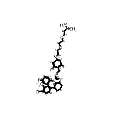 Cc1cc(C2CCCc3nc(SCc4c(F)cc(OCCOCCOCCN(C)C)cc4F)n(-c4ccc(F)cc4)c32)ccc1Cl